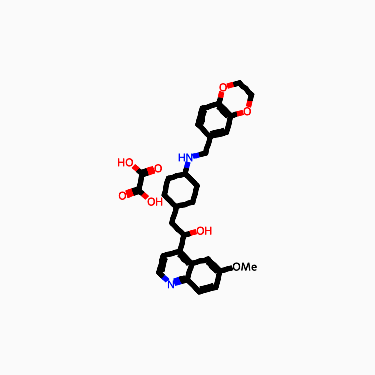 COc1ccc2nccc(C(O)CC3CCC(NCc4ccc5c(c4)OCCO5)CC3)c2c1.O=C(O)C(=O)O